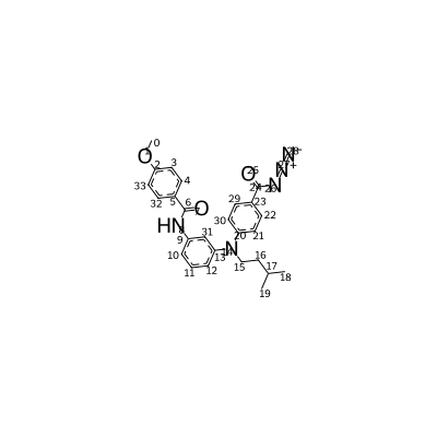 COc1ccc(C(=O)Nc2cccc(N(CCC(C)C)c3ccc(C(=O)N=[N+]=[N-])cc3)c2)cc1